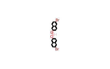 Brc1ccc2cc(OBOc3ccc4cc(Br)ccc4c3)ccc2c1